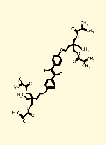 C=C(C)C(=O)OCC(CC)(CCOc1ccc(/C(F)=C(\F)c2ccc(OCCC(CC)(COC(=O)C(=C)C)COC(=O)C(=C)C)cc2)cc1)COC(=O)C(=C)C